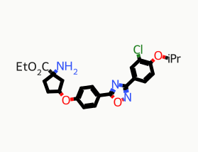 CCOC(=O)C1(N)CCC(Oc2ccc(-c3nc(-c4ccc(OC(C)C)c(Cl)c4)no3)cc2)C1